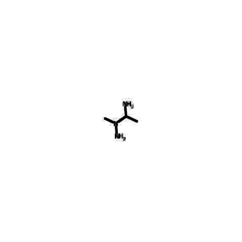 CC(N)N(C)N